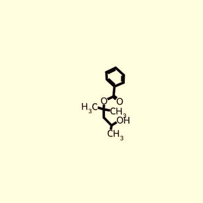 CC(O)CC(C)(C)OC(=O)c1ccccc1